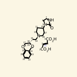 O=C(O)/C=C/C(=O)O.O=C1NCCN1C1CCN(CC[C@H]2COc3ccccc3O2)CC1